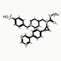 CC(C)(C)OC(=O)N(CC1CCN(Cc2ccc(C(=O)O)cc2)CC1)C1CC1c1ccc(-c2cncnc2)cc1